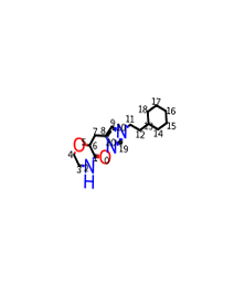 O=C1NCCOC1Cc1cn(CCC2CCCCC2)cn1